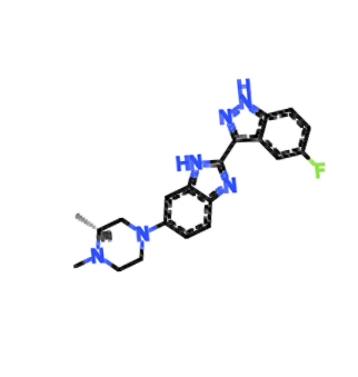 C[C@@H]1CN(c2ccc3nc(-c4n[nH]c5ccc(F)cc45)[nH]c3c2)CCN1C